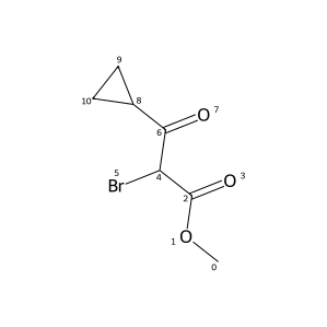 COC(=O)C(Br)C(=O)C1CC1